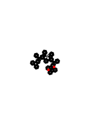 c1ccc(N(c2ccc3c(c2)-c2ccccc2C32c3ccccc3-c3ccccc32)c2cc(-c3cccc(-c4cc(N(c5ccccc5)c5ccc6c7ccccc7c7ccccc7c6c5)cc5c4sc4ccccc45)c3)c3sc4ccccc4c3c2)cc1